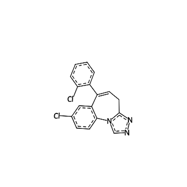 Clc1ccc2c(c1)C(c1ccccc1Cl)=CCc1nncn1-2